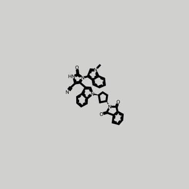 Cn1cc(-n2c(-c3cn([C@H]4CC[C@H](N5C(=O)c6ccccc6C5=O)C4)c4ccccc34)c(C#N)[nH]c2=O)c2ccccc21